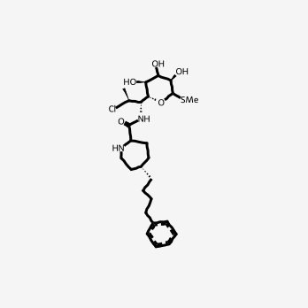 CSC1O[C@H]([C@H](NC(=O)C2CC[C@H](CCCCc3ccccc3)CCN2)[C@H](C)Cl)[C@@H](O)C(O)[C@H]1O